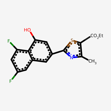 CCOC(=O)c1sc(-c2cc(O)c3c(F)cc(F)cc3c2)nc1C